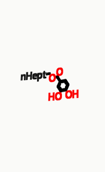 CCCCCCCCOC(=O)c1ccc(O)c(O)c1